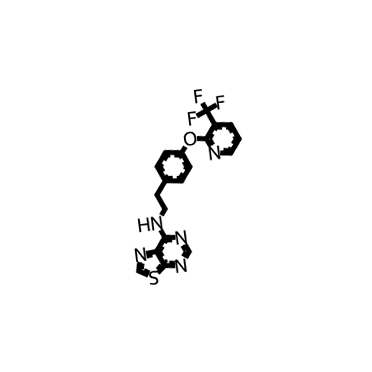 FC(F)(F)c1cccnc1Oc1ccc(CCNc2ncnc3scnc23)cc1